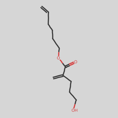 C=CCCCCOC(=O)C(=C)CCCO